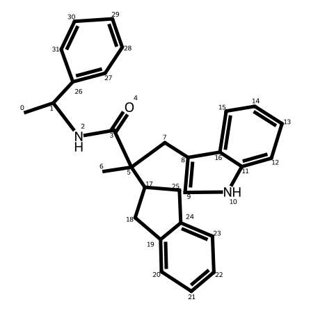 CC(NC(=O)C(C)(Cc1c[nH]c2ccccc12)C1Cc2ccccc2C1)c1ccccc1